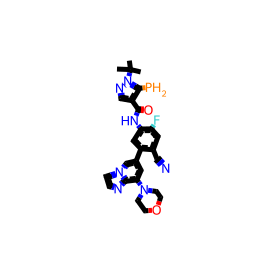 CC(C)(C)n1ncc(C(=O)Nc2cc(-c3cc(N4CCOCC4)c4nccn4c3)c(C#N)cc2F)c1P